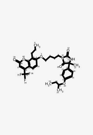 CCCc1c(OCCCCN2C(=O)NC(C)(c3ccc(OC(C)CC)cc3)C2=O)ccc2c(C(F)(F)F)cc(=O)oc12